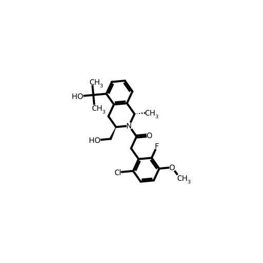 COc1ccc(Cl)c(CC(=O)N2[C@@H](CO)Cc3c(cccc3C(C)(C)O)[C@@H]2C)c1F